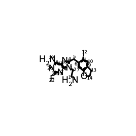 NCCn1c(Cc2cc3c(cc2I)CCO3)nc2c(N)nc(F)nc21